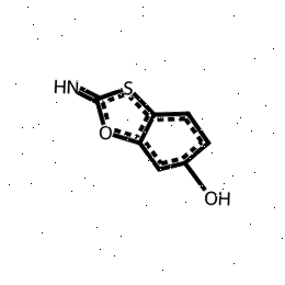 N=c1oc2cc(O)ccc2s1